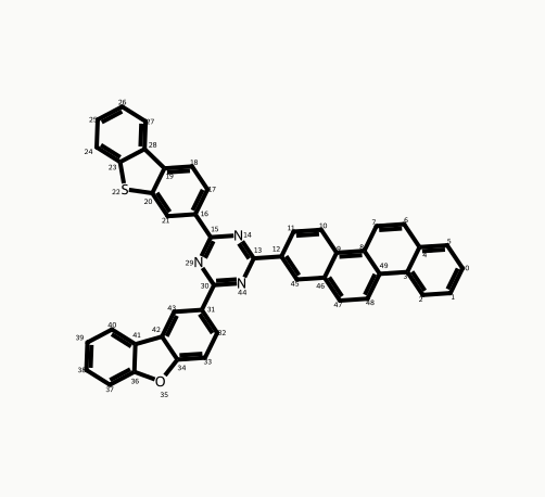 c1ccc2c(c1)ccc1c3ccc(-c4nc(-c5ccc6c(c5)sc5ccccc56)nc(-c5ccc6oc7ccccc7c6c5)n4)cc3ccc21